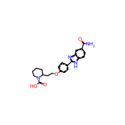 NC(=O)c1ccc2[nH]c(-c3ccc(OCCC4CCCCN4C(=O)O)cc3)nc2c1